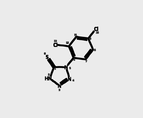 S=c1[nH]nnn1-c1ccc(Cl)cc1Cl